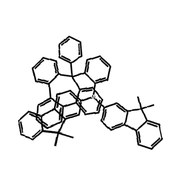 CC1(C)c2ccccc2-c2ccc(N(c3ccc4c(c3)C(C)(C)c3ccccc3-4)c3ccccc3C3(c4ccccc4)c4ccccc4-c4ccccc4-c4ccccc43)cc21